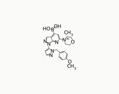 COc1ccc(Cn2nccc2-n2ncc3c(B(O)O)cc(N4CCOC[C@H]4C)nc32)cc1